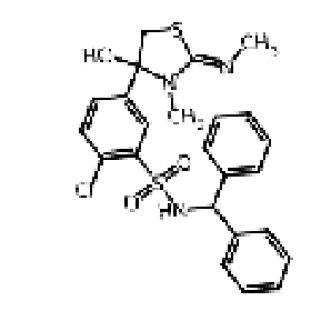 C/N=C1\SCC(O)(c2ccc(Cl)c(S(=O)(=O)NC(c3ccccc3)c3ccccc3)c2)N1C